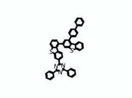 c1ccc(-c2ccc(-c3cc(-c4cccc5sc6cc(-c7nc(-c8ccccc8)nc(-c8ccccc8)n7)ccc6c45)cc4sc5ccccc5c34)cc2)cc1